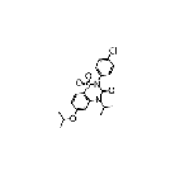 CC(C)Oc1ccc2c(c1)N(C(C)C)C(=O)N(c1ccc(Cl)cc1)S2(=O)=O